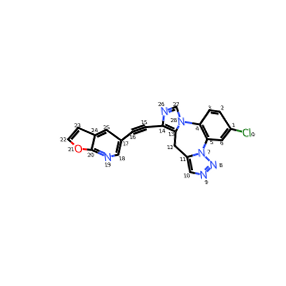 Clc1ccc2c(c1)-n1nncc1Cc1c(C#Cc3cnc4occc4c3)ncn1-2